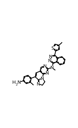 Cc1csc(-c2nnc(N(C)c3ncc4c(n3)N3CCN=C3C(c3ccc(N)cc3C)=C4)c3ccccc23)c1